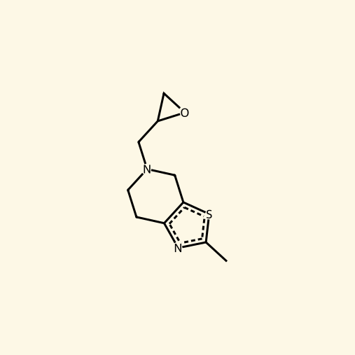 Cc1nc2c(s1)CN(CC1CO1)CC2